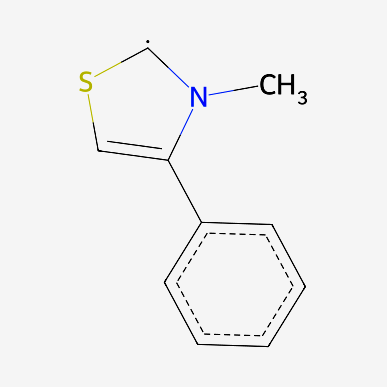 CN1[CH]SC=C1c1ccccc1